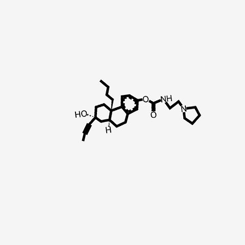 CC#C[C@@]1(O)CC[C@]2(CCCC)c3ccc(OC(=O)NCCN4CCCC4)cc3CC[C@H]2C1